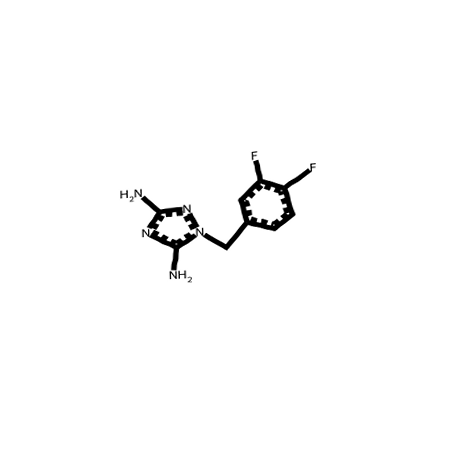 Nc1nc(N)n(Cc2ccc(F)c(F)c2)n1